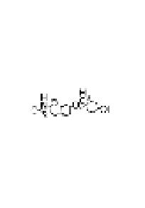 CC1(COc2ccc(CC3SC(=O)NC3=O)cc2)CCC(O)CC1